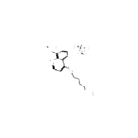 COc1cccc2c(NCCCCO)ccnc12.Cl.O.O=[N+]([O-])O